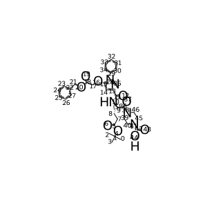 CC(C)(C)OC(=O)CC[C@H](NC(=O)c1cc(OCC(=O)OCc2ccccc2)n(-c2ccccc2)n1)C(=O)N1CCN(C(=O)O)CC1